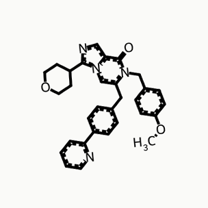 COc1ccc(Cn2c(Cc3ccc(-c4ccccn4)cc3)cn3c(C4CCOCC4)ncc3c2=O)cc1